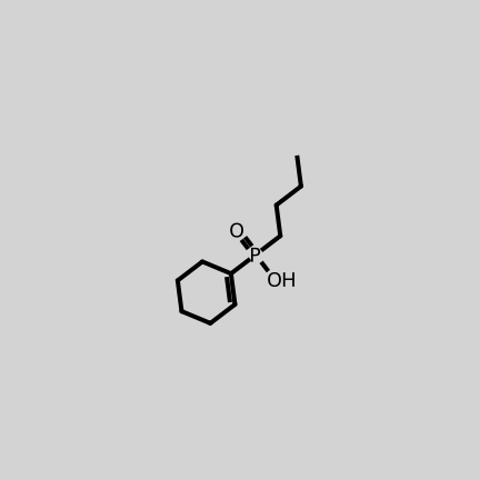 CCCCP(=O)(O)C1=CCCCC1